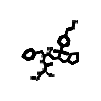 CC(C)(C)[C@H](NC(=O)O)C(=O)N[C@@H](Cc1ccccc1)[C@H](O)CN(CC1CCCC1)S(=O)(=O)c1ccc(C=NO)cc1